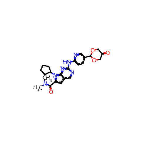 CN(C)C(=O)c1cc2cnc(Nc3ccc(C4OCC(=O)CO4)cn3)nc2n1C1CCCC1